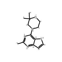 Cc1nc(N2CCOC(C)(C)C2)c2sccc2n1